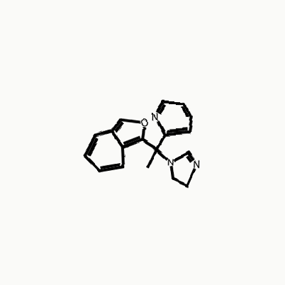 CC(c1ccccn1)(c1occ2ccccc12)N1C=NCC1